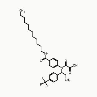 CCCCCCCCCCCCNC(=O)c1ccc(N(C(=O)C(=O)O)C(CC)c2ccc(C(F)(F)F)cc2)cc1